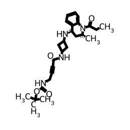 CCC(=O)N1c2ccccc2[C@H](NC2CC(NC(=O)C#CCNC(=O)OC(C)(C)C)C2)C[C@@H]1C